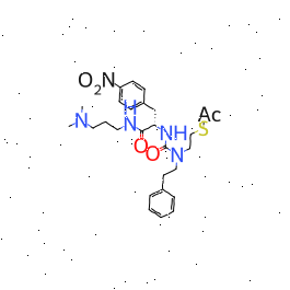 CC(=O)SCCN(CCc1ccccc1)C(=O)N[C@@H](Cc1ccc([N+](=O)[O-])cc1)C(=O)NCCCN(C)C